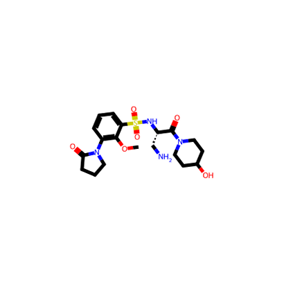 COc1c(N2CCCC2=O)cccc1S(=O)(=O)N[C@@H](CN)C(=O)N1CCC(O)CC1